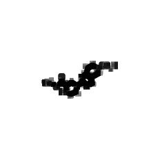 CC(C)(C)OC(=O)C1CN(c2ncc3c(n2)CCN(C(=O)O)C3)CCN1